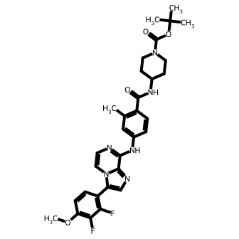 COc1ccc(-c2cnc3c(Nc4ccc(C(=O)NC5CCN(C(=O)OC(C)(C)C)CC5)c(C)c4)nccn23)c(F)c1F